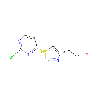 OCCC1=C[SH](c2ccnc(Cl)n2)C=N1